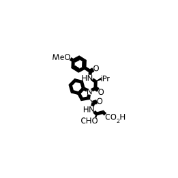 COc1ccc(C(=O)N[C@H](C(=O)N2C3CCCCC3C[C@H]2C(=O)N[C@H](C=O)CC(=O)O)C(C)C)cc1